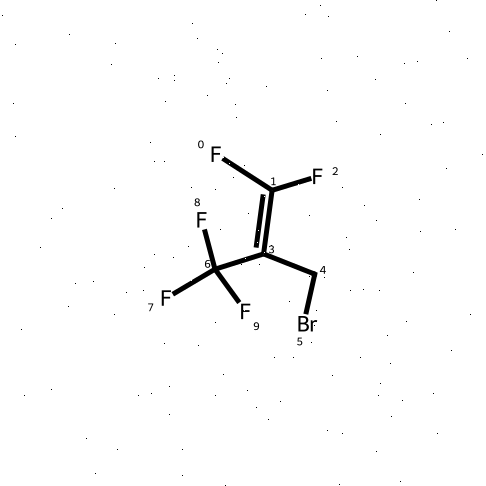 FC(F)=C(CBr)C(F)(F)F